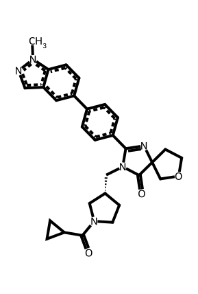 Cn1ncc2cc(-c3ccc(C4=NC5(CCOC5)C(=O)N4C[C@@H]4CCN(C(=O)C5CC5)C4)cc3)ccc21